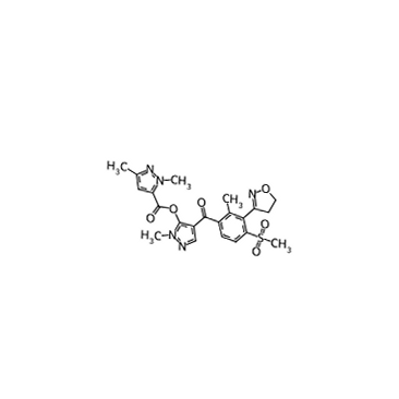 Cc1cc(C(=O)Oc2c(C(=O)c3ccc(S(C)(=O)=O)c(C4=NOCC4)c3C)cnn2C)n(C)n1